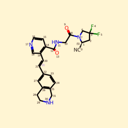 N#C[C@@H]1CC(F)(F)CN1C(=O)CNC(=O)c1ccncc1/C=C/c1ccc2c(c1)CCNC2